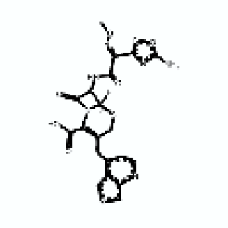 CON=C(C(=O)NC1C(=O)N2C(C(=O)O)=C(Cc3ccnc4cscc34)CS[C@@H]12)c1noc(N)n1